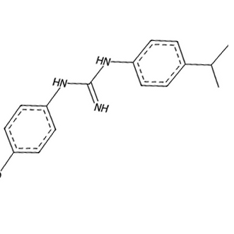 COc1ccc(NC(=N)Nc2ccc(C(C)C)cc2)cc1